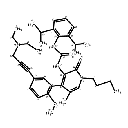 CCCCn1cc(C)c(-c2cc(C#CCN(CC)CC)ccc2OC)c(NC(=O)Nc2c(C(C)C)cccc2C(C)C)c1=O